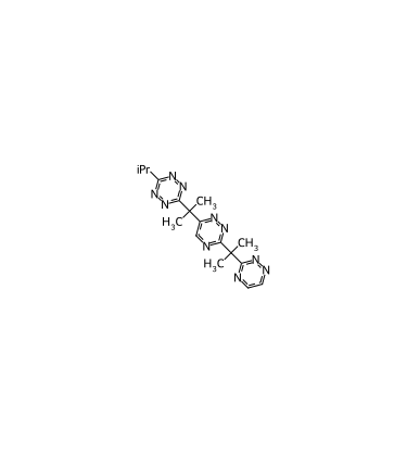 CC(C)c1nnc(C(C)(C)c2cnc(C(C)(C)c3nccnn3)nn2)nn1